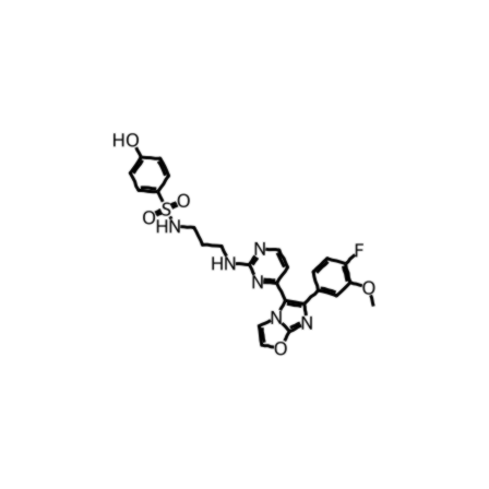 COc1cc(-c2nc3occn3c2-c2ccnc(NCCCNS(=O)(=O)c3ccc(O)cc3)n2)ccc1F